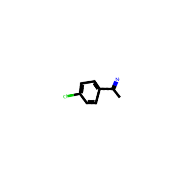 CC(=[N])c1ccc(Cl)cc1